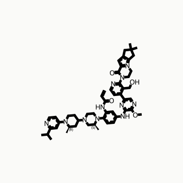 C=CC(=O)Nc1cc(Nc2nc(-c3ccnc(N4CCn5c(cc6c5CC(C)(C)C6)C4=O)c3CO)cnc2OC)ccc1N1CCN(C2CCN(c3ccnc(C(C)C)c3)[C@H](C)C2)C[C@@H]1C